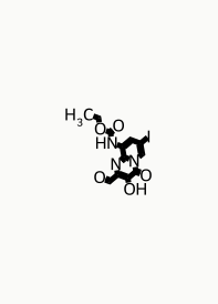 CCOC(=O)Nc1cc(I)cn2c(=O)c(O)c(C=O)nc12